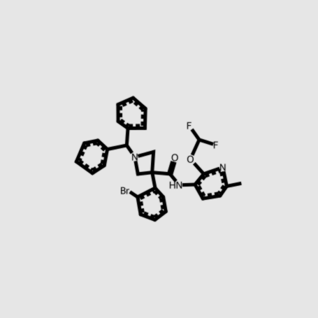 Cc1ccc(NC(=O)C2(c3ccccc3Br)CN(C(c3ccccc3)c3ccccc3)C2)c(OC(F)F)n1